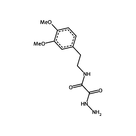 COc1ccc(CCNC(=O)C(=O)NN)cc1OC